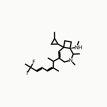 CN[C@]12CCC1(C1CC1C)C=C(C(C)/C(C)=C\C=C\C(C)(F)I)CN(C)C2C